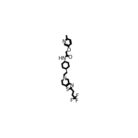 Cc1ccc(OCC(=O)N[C@H]2CC[C@H](CCN3CCc4sc(CCC(F)(F)F)nc4C3)CC2)cn1